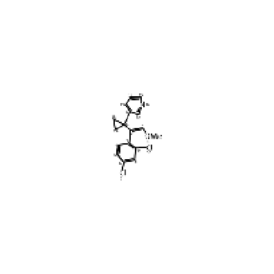 COC=C(c1ccc(Cl)cc1Cl)C1(c2cccnc2)CC1